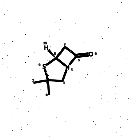 CC1(C)CN2C(=O)C[C@@H]2S1